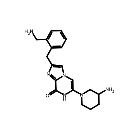 NCc1ccccc1Cc1cn2cc(N3CCCC(N)C3)[nH]c(=O)c2n1